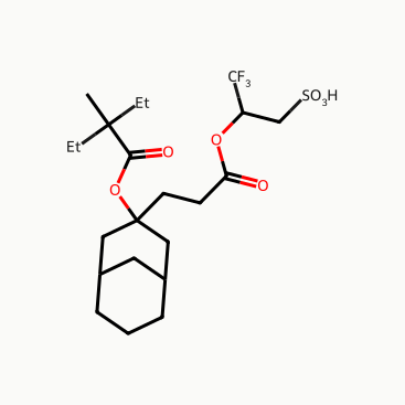 CCC(C)(CC)C(=O)OC1(CCC(=O)OC(CS(=O)(=O)O)C(F)(F)F)CC2CCCC(C2)C1